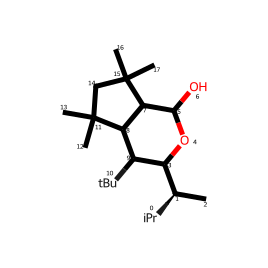 CC(C)[C@H](C)C1OC(O)C2C(C1C(C)(C)C)C(C)(C)CC2(C)C